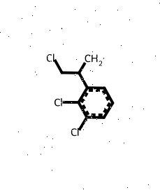 [CH2]C(CCl)c1cccc(Cl)c1Cl